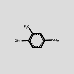 CSc1ccc(C=O)c(C(F)(F)F)c1